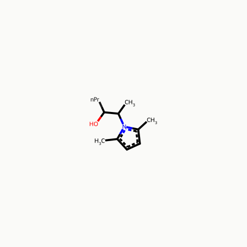 CCCC(O)C(C)n1c(C)ccc1C